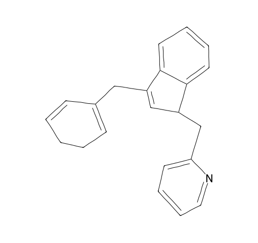 C1=CC(CC2=CC(Cc3ccccn3)c3ccccc32)=CCC1